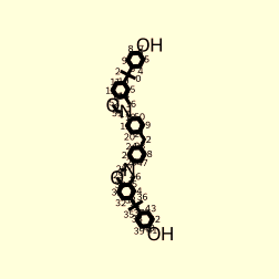 CC(C)(c1ccc(O)cc1)c1ccc2c(c1)CN(c1ccc(Cc3ccc(N4COc5ccc(C(C)(C)c6ccc(O)cc6)cc5C4)cc3)cc1)CO2